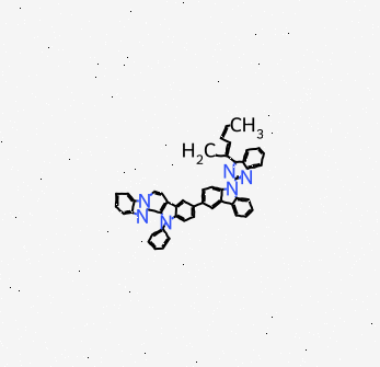 C=C/C(=C\C=C/C)c1nc(-n2c3ccccc3c3cc(-c4ccc5c(c4)c4ccn6c7ccccc7nc6c4n5-c4ccccc4)ccc32)nc2ccccc12